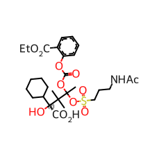 CCOC(=O)c1ccccc1OC(=O)OC(C)(OS(=O)(=O)CCCNC(C)=O)C(C)(C)[C@@](O)(C(=O)O)C1CCCCC1